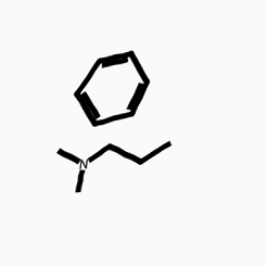 CCCN(C)C.c1ccccc1